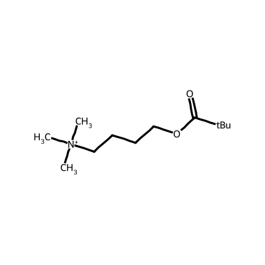 CC(C)(C)C(=O)OCCCC[N+](C)(C)C